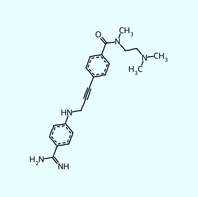 CN(C)CCN(C)C(=O)c1ccc(C#CCNc2ccc(C(=N)N)cc2)cc1